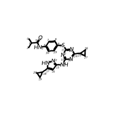 CC(C)C(=O)Nc1ccc(Sc2nc(Nc3cc(C4CC4)[nH]n3)nc(C3CC3)n2)cc1